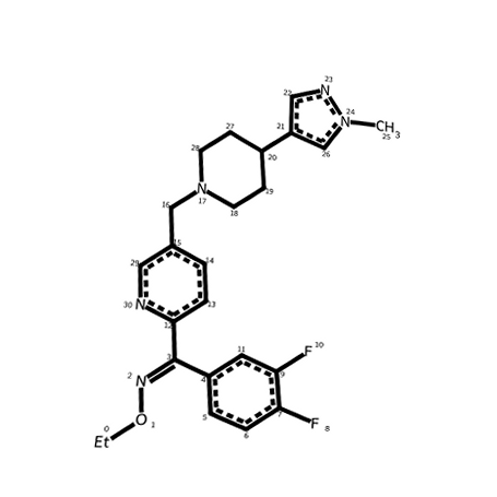 CCO/N=C(\c1ccc(F)c(F)c1)c1ccc(CN2CCC(c3cnn(C)c3)CC2)cn1